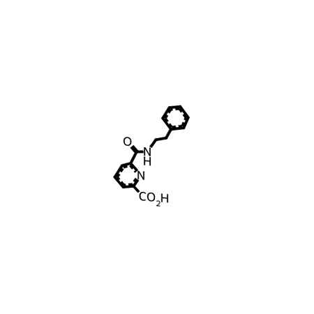 O=C(O)c1cccc(C(=O)NCCc2ccccc2)n1